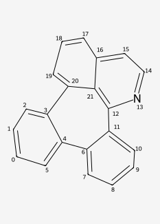 c1ccc2c(c1)-c1ccccc1-c1nccc3cccc-2c13